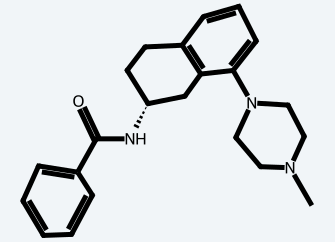 CN1CCN(c2cccc3c2C[C@H](NC(=O)c2ccccc2)CC3)CC1